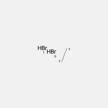 Br.Br.CC